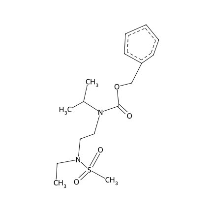 CCN(CCN(C(=O)OCc1ccccc1)C(C)C)S(C)(=O)=O